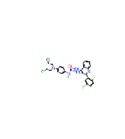 O=C(NNc1cc(-c2cc(F)ccc2F)nc2ccccc12)Nc1ccc(N(CCCl)CCCl)cc1